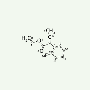 C=COC(=O)C(CC)c1ccccc1F